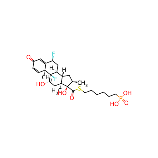 C[C@@H]1C[C@H]2[C@@H]3C[C@H](F)C4=CC(=O)C=C[C@]4(C)[C@@]3(F)[C@@H](O)C[C@]2(C)[C@@]1(O)C(=O)SCCCCCCP(=O)(O)O